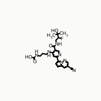 CC(C)(O)C(F)CNC(=O)c1cnc(-c2ccc3cc(C#N)cnn23)cc1NCCCNC(=O)O